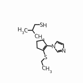 CC(C)CS.CCSC1=C(n2ccnc2)CCC1